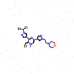 CC/C=C1/C(c2cnn(C(CC)CC)c2)=NC(c2cnn(CCN3CCOCC3)c2)=CN1C